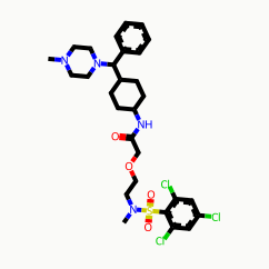 CN1CCN(C(c2ccccc2)C2CCC(NC(=O)COCCN(C)S(=O)(=O)c3c(Cl)cc(Cl)cc3Cl)CC2)CC1